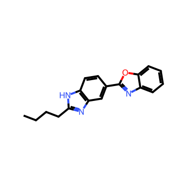 CCCCc1nc2cc(-c3nc4ccccc4o3)ccc2[nH]1